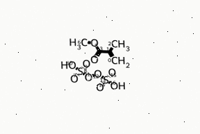 C=C(C)C(=O)OC.O=S(=O)(O)OOS(=O)(=O)O